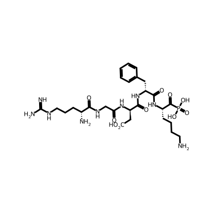 N=C(N)NCCC[C@@H](N)C(=O)NCC(=O)N[C@H](CC(=O)O)C(=O)N[C@H](Cc1ccccc1)C(=O)N[C@@H](CCCCN)C(=O)P(=O)(O)O